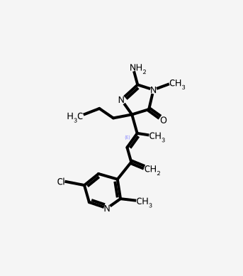 C=C(/C=C(\C)C1(CCC)N=C(N)N(C)C1=O)c1cc(Cl)cnc1C